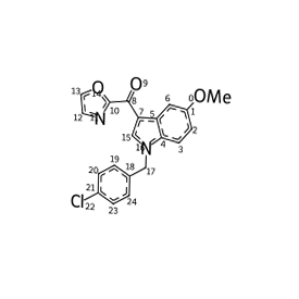 COc1ccc2c(c1)c(C(=O)c1ncco1)cn2Cc1ccc(Cl)cc1